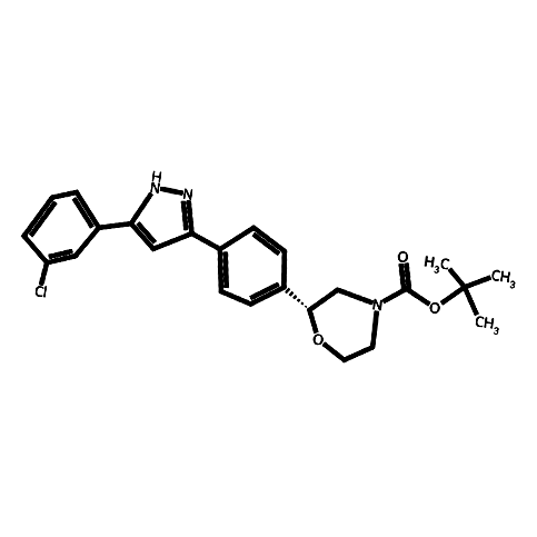 CC(C)(C)OC(=O)N1CCO[C@H](c2ccc(-c3cc(-c4cccc(Cl)c4)[nH]n3)cc2)C1